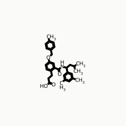 Cc1ccc(COc2ccc(CCC(=O)O)c(C(=O)NC(CC(C)C)c3cc(C)cc(C)c3)c2)cc1